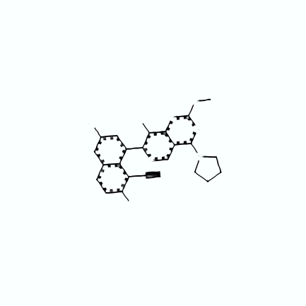 C#Cc1c(F)ccc2cc(O)cc(-c3ncc4c(N5CCCC5)nc(OC)nc4c3F)c12